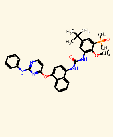 COc1c(NC(=O)Nc2ccc(Oc3ccnc(Nc4ccccc4)n3)c3ccccc23)cc(C(C)(C)C)cc1P(C)(C)=O